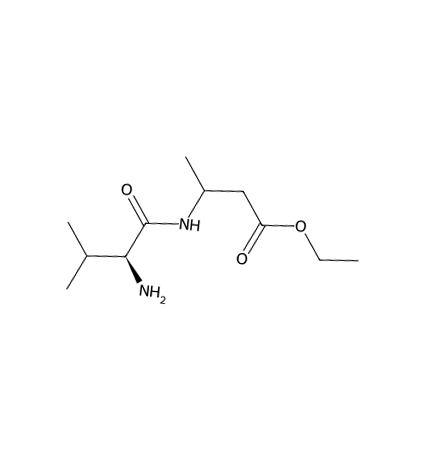 CCOC(=O)CC(C)NC(=O)[C@@H](N)C(C)C